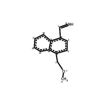 COCc1ccc(C=N)c2ccccc12